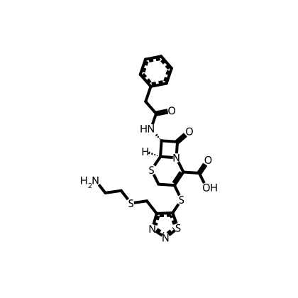 NCCSCc1nnsc1SC1=C(C(=O)O)N2C(=O)[C@@H](NC(=O)Cc3ccccc3)[C@@H]2SC1